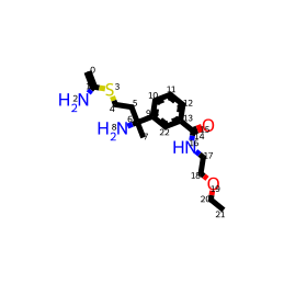 C=C(N)SCCC(C)(N)c1cccc(C(=O)NCCOCC)c1